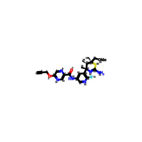 C#CCOc1cnc(C(=O)Nc2cnc(F)c([C@@]3(C)N=C(N)S[C@](C)(COC)[C@H]3C)c2)cn1